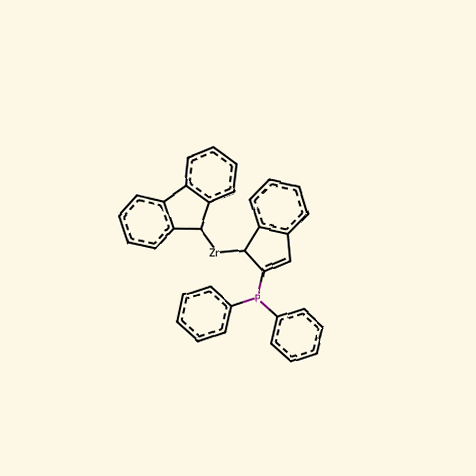 C1=C(P(c2ccccc2)c2ccccc2)[CH]([Zr][CH]2c3ccccc3-c3ccccc32)c2ccccc21